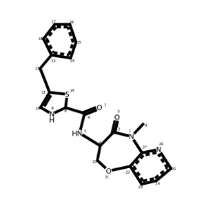 CN1C(=O)C(NC(=O)C2NC=C(Cc3ccccc3)S2)COc2cccnc21